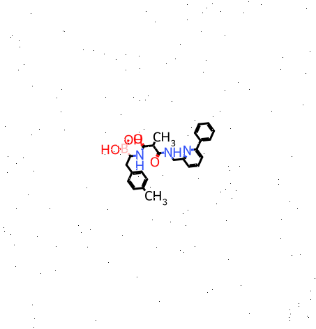 Cc1ccc(CC(NC(=O)C(C)C(=O)NCc2cccc(-c3ccccc3)n2)B(O)O)cc1